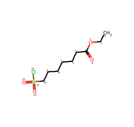 CCOC(=O)CCCCCCS(=O)(=O)Cl